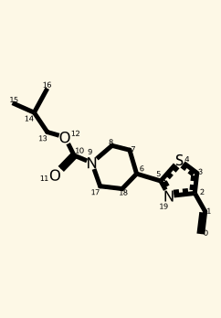 C=Cc1csc(C2CCN(C(=O)OCC(C)C)CC2)n1